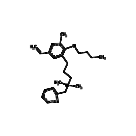 C=Cc1cc(C)c(OCCCC)c(CCC[Si](C)(C)Cc2ccccc2)c1